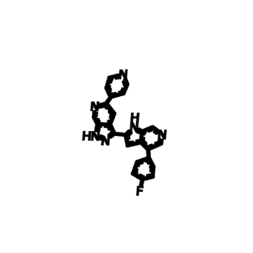 Fc1ccc(-c2cncc3[nH]c(-c4n[nH]c5cnc(-c6ccncc6)cc45)cc23)cc1